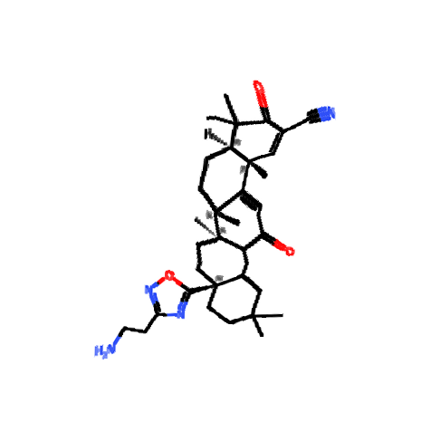 CC1(C)CC[C@]2(c3nc(CCN)no3)CC[C@]3(C)C(C(=O)C=C4[C@@]5(C)C=C(C#N)C(=O)C(C)(C)[C@@H]5CC[C@]43C)C2C1